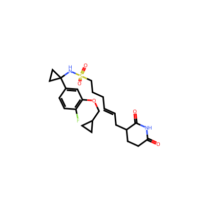 O=C1CCC(C/C=C/CCCS(=O)(=O)NC2(c3ccc(F)c(OCC4CC4)c3)CC2)C(=O)N1